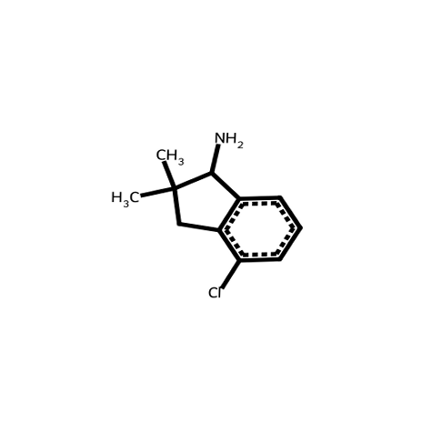 CC1(C)Cc2c(Cl)cccc2C1N